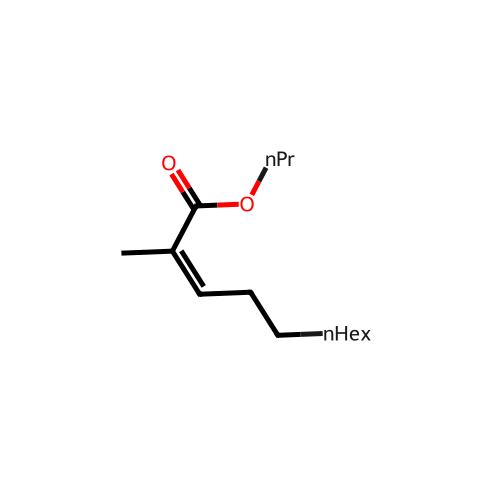 CCCCCCCCC=C(C)C(=O)OCCC